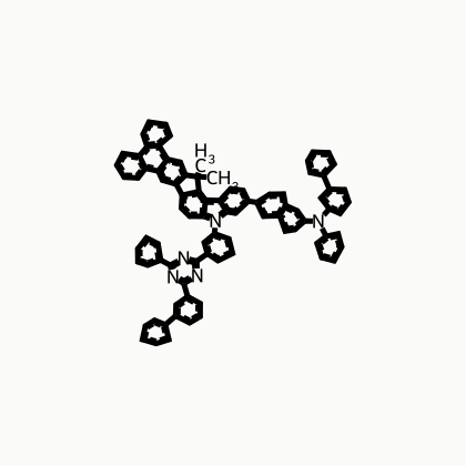 CC1(C)c2cc3c4ccccc4c4ccccc4c3cc2-c2ccc3c(c21)c1ccc(-c2ccc4cc(N(c5ccccc5)c5cccc(-c6ccccc6)c5)ccc4c2)cc1n3-c1cccc(-c2nc(-c3ccccc3)nc(-c3cccc(-c4ccccc4)c3)n2)c1